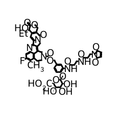 CC[C@@]1(O)C(=O)OCc2c1cc1n(c2=O)Cc2c-1nc1cc(F)c(C)c3c1c2CN(C(=O)OCc1ccc(O[C@@H]2O[C@H](C(=O)O)[C@@H](O)[C@H](O)[C@H]2O)c(NC(=O)CCNC(=O)CCN2C(=O)C=CC2=O)c1)CC3